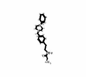 CCC(=O)NCCc1ccc(CN2CCN(c3ccccc3)CC2)cc1